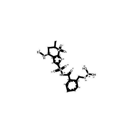 CCN[C@H]1CC(C)S(=O)(=O)c2sc(S(=O)(=O)NC(=O)c3ccccc3CON(O)O)cc21